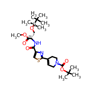 COC(=O)[C@H](CO[Si](C)(C)C(C)(C)C)NC(=O)c1csc(C2=CCN(C(=O)OC(C)(C)C)CC2)n1